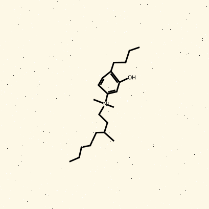 CCCCCC(C)CC[N+](C)(C)c1ccc(CCCC)c(O)c1